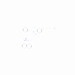 C[C@@H](NCC1CCN(c2c(F)cc(C(=O)O)cc2F)CC1c1cccc(F)c1)c1cccc2ccccc12